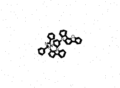 c1ccc(-c2nc(-c3ccccc3)n(-c3cccc4c5ccccc5n(-c5cccc(-n6c7ccccc7c7c8oc9ccccc9c8ccc76)c5)c34)n2)cc1